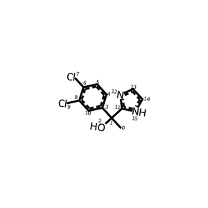 CC(O)(c1ccc(Cl)c(Cl)c1)c1ncc[nH]1